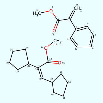 C=C(C(=O)OC)c1ccccc1.COC(=O)C(=CC1CCCC1)C1CCCC1